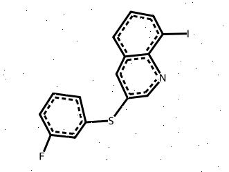 Fc1cccc(Sc2cnc3c(I)cccc3c2)c1